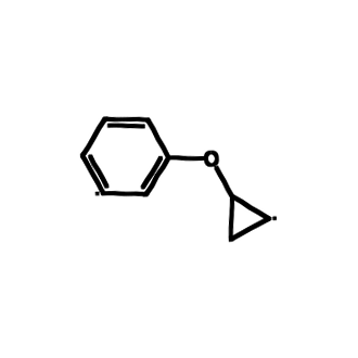 [c]1cccc(OC2[CH]C2)c1